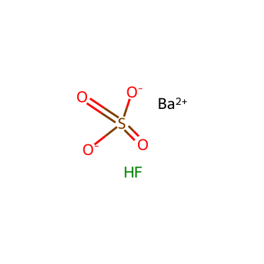 F.O=S(=O)([O-])[O-].[Ba+2]